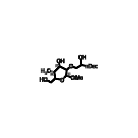 CCCCCCCCCCC(O)COC1[C@@H](OC)OC(CO)[C@H](C)[C@H]1O